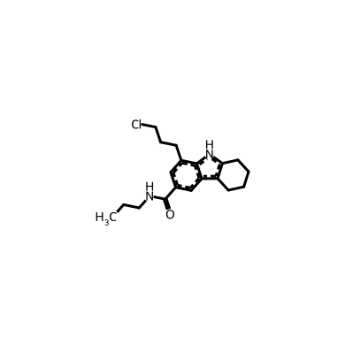 CCCNC(=O)c1cc(CCCCl)c2[nH]c3c(c2c1)CCCC3